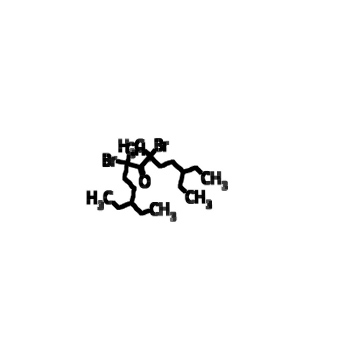 CCC(CC)CCC(C)(Br)C(=O)C(C)(Br)CCC(CC)CC